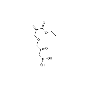 C=C(COCC(=O)CP(O)O)C(=O)OCC